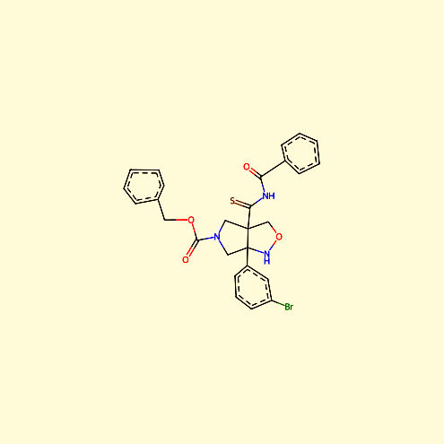 O=C(NC(=S)C12CONC1(c1cccc(Br)c1)CN(C(=O)OCc1ccccc1)C2)c1ccccc1